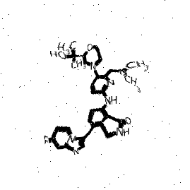 CN(C)Cc1nc(Nc2ccc(-c3cnc4cc(F)ccn34)c3c2C(=O)NC3)ccc1N1CCO[C@H](C(C)(C)O)C1